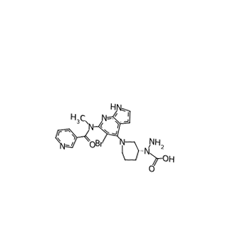 CN(C(=O)c1cccnc1)c1nc2[nH]ccc2c(N2CCC[C@@H](N(N)C(=O)O)C2)c1Br